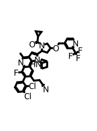 Cc1nc2c(F)c(-c3cccc(Cl)c3Cl)c(CCC#N)cc2c2c1cc(C1CC(OCc3ccnc(C(F)(F)F)c3)CN1C(=O)C1CC1)n2C1C2CNC1C2